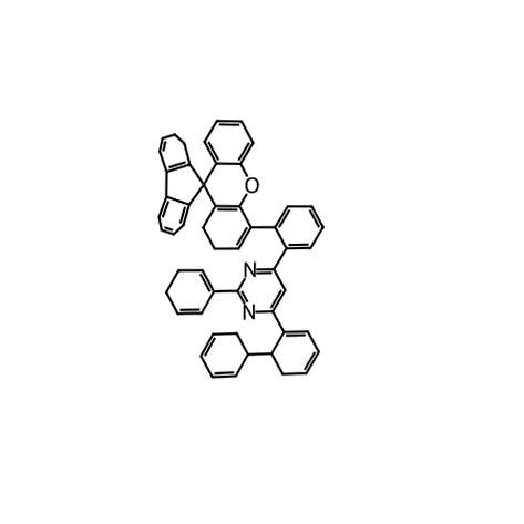 C1=CCC(C2CC=CC=C2c2cc(-c3ccccc3C3=CCCC4=C3Oc3ccccc3C43C4=C(C=CCC4)c4ccccc43)nc(C3=CCCC=C3)n2)C=C1